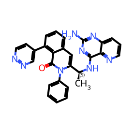 C[C@H](Nc1nc(N)nc2cccnc12)c1cc2cccc(-c3ccnnc3)c2c(=O)n1-c1ccccc1